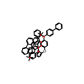 CC(C)(C)c1ccc2c(c1)C1(c3ccccc3Oc3ccc(N(c4ccc(-c5ccccc5)cc4)c4ccccc4-c4ccc5c(c4)C4(c6ccccc6O5)c5ccccc5-c5ccccc54)cc31)c1cc(C(C)(C)C)ccc1-2